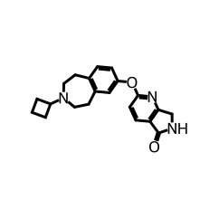 O=C1NCc2nc(Oc3ccc4c(c3)CCN(C3CCC3)CC4)ccc21